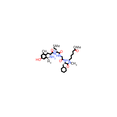 COC(=O)CCCCCN(C)C(=O)[C@H](CC1CCCCC1)NC(=O)CNC(=O)[C@@H](CCSC)NC(=O)[C@H](N)Cc1c(C)cc(O)cc1C